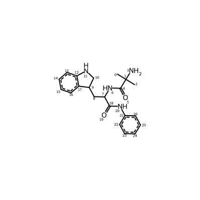 CC(C)(N)C(=O)NC(CC1CNc2ccccc21)C(=O)Nc1ccccc1